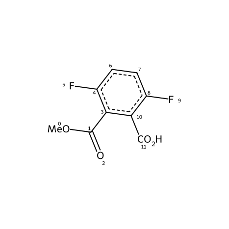 COC(=O)c1c(F)ccc(F)c1C(=O)O